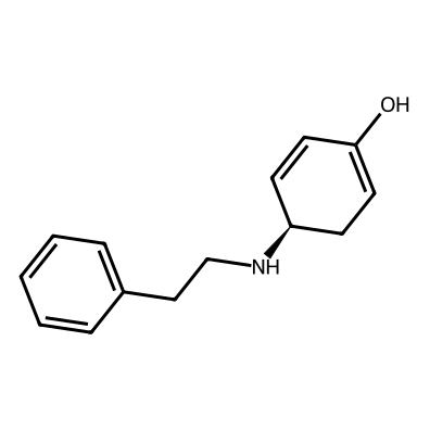 OC1=CC[C@@H](NCCc2ccccc2)C=C1